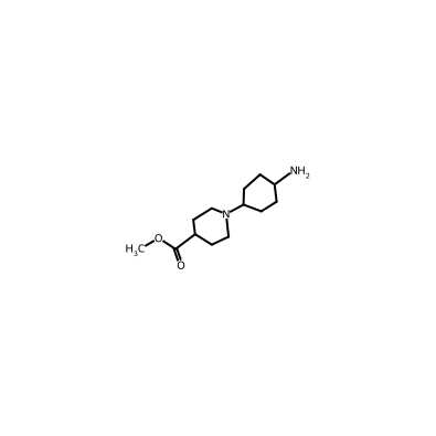 COC(=O)C1CCN(C2CCC(N)CC2)CC1